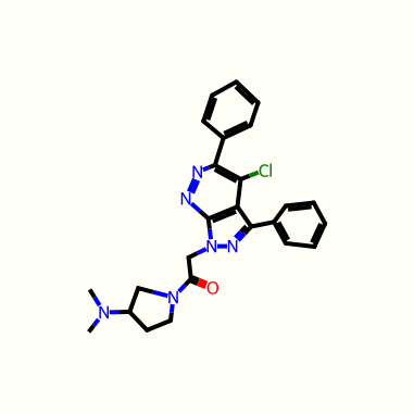 CN(C)C1CCN(C(=O)Cn2nc(-c3ccccc3)c3c(Cl)c(-c4ccccc4)nnc32)C1